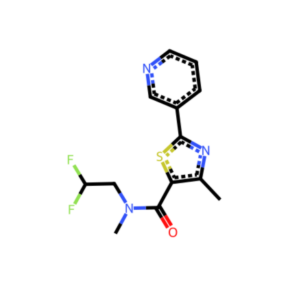 Cc1nc(-c2cccnc2)sc1C(=O)N(C)CC(F)F